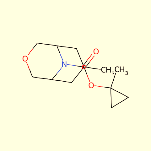 CC1CC2COCC(C1)N2C(=O)OC1(C)CC1